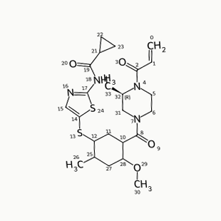 C=CC(=O)N1CCN(C(=O)C2CC(Sc3cnc(NC(=O)C4CC4)s3)C(C)CC2OC)C[C@H]1C